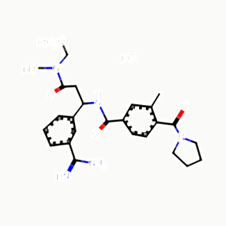 CCCN(CC(=O)OCC)C(=O)CC(NC(=O)c1ccc(C(=O)N2CCCC2)c(C)c1)c1cccc(C(=N)N)c1.Cl